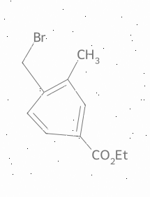 CCOC(=O)c1ccc(CBr)c(C)c1